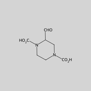 O=CC1CN(C(=O)O)CCN1C(=O)O